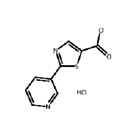 Cl.O=C(Cl)c1cnc(-c2cccnc2)s1